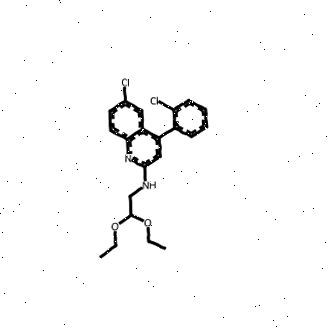 CCOC(CNc1cc(-c2ccccc2Cl)c2cc(Cl)ccc2n1)OCC